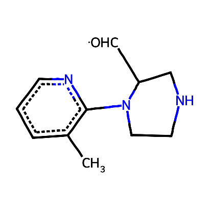 Cc1cccnc1N1CCNCC1[C]=O